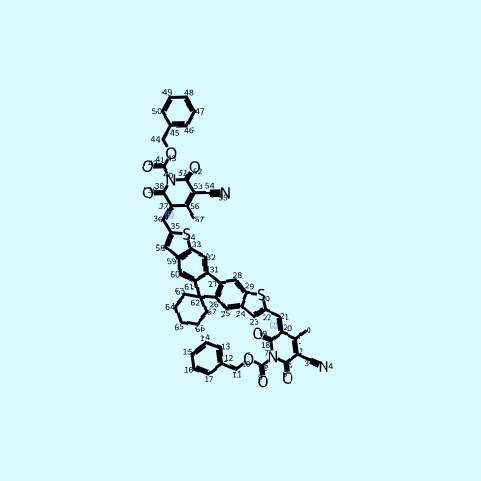 CC1=C(C#N)C(=O)N(C(=O)OCc2ccccc2)C(=O)/C1=C\c1cc2cc3c(cc2s1)-c1cc2sc(/C=C4/C(=O)N(C(=O)OCc5ccccc5)C(=O)C(C#N)=C4C)cc2cc1C31CCCCC1